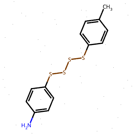 Cc1ccc(SSSSc2ccc(N)cc2)cc1